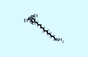 CCO[Si](CCCCCCCCCCCCCCN)(OCC)OCC